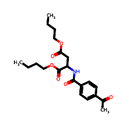 CCCCOC(=O)CC(NC(=O)c1ccc(C(C)=O)cc1)C(=O)OCCCC